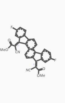 COC(=O)/C(C#N)=C1\c2cc(F)ccc2-c2c1ccc1c3c(ccc21)-c1ccc(F)cc1/C3=C(/C#N)C(=O)OC